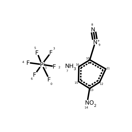 F[P-](F)(F)(F)(F)F.N.N#[N+]c1ccc([N+](=O)[O-])cc1